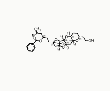 C=C(Br)C[C@@H](CC[C@@]12C[C@H]3O[C@H]4C(O1)[C@H]1O[C@@H](CCO)CC[C@@H]1O[C@H]4C3O2)OC(=O)c1ccccc1